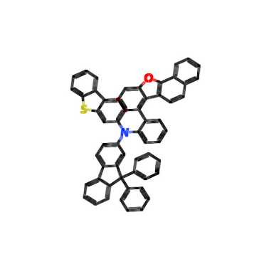 c1ccc(C2(c3ccccc3)c3ccccc3-c3ccc(N(c4ccc5c(c4)sc4ccccc45)c4ccccc4-c4cccc5oc6c7ccccc7ccc6c45)cc32)cc1